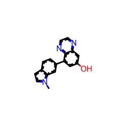 Cn1ccc2ccc(-c3cc(O)cc4nccnc34)cc21